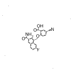 N#Cc1ccc(OCc2cc(C(N)=O)cc3ccc(F)cc23)c(C(=O)O)c1